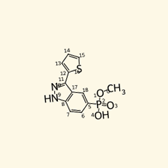 COP(=O)(O)c1ccc2[nH]nc(-c3cccs3)c2c1